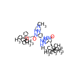 CC(C)[Si](C#Cc1cc(=O)[nH]c2nc(Nc3ccc(N4CCCN(C)CC4)c(NC(=O)CCCO[Si](c4ccccc4)(c4ccccc4)C(C)(C)C)c3)ncc12)(C(C)C)C(C)C